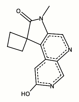 CN1C(=O)C2(CCC2)c2c1cnc1cnc(O)cc21